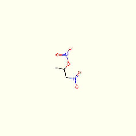 CC(C[N+](=O)[O-])O[N+](=O)[O-]